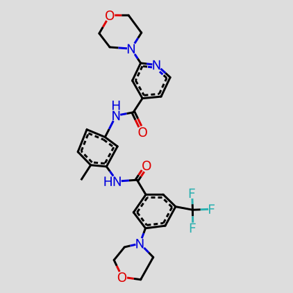 Cc1ccc(NC(=O)c2ccnc(N3CCOCC3)c2)cc1NC(=O)c1cc(N2CCOCC2)cc(C(F)(F)F)c1